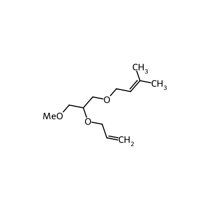 C=CCOC(COC)COCC=C(C)C